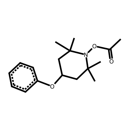 CC(=O)ON1C(C)(C)CC(Oc2ccccc2)CC1(C)C